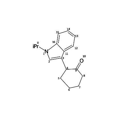 CC(C)n1cc(C2CCCCC2=O)c2ccccc21